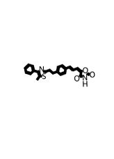 Cc1sc(CCc2ccc(C=CC=C3OC(=O)NC3=O)cc2)nc1-c1ccccc1